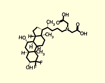 C[C@H](CCCN(CC(=O)O)CC(=O)O)[C@H]1CC[C@H]2[C@@H]3[C@@H](O)C[C@@H]4C[C@@H](O)C(F)(F)C[C@]4(C)[C@H]3CC[C@]12C